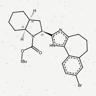 CC(C)(C)OC(=O)N1[C@H](c2nc3c([nH]2)-c2ccc(Br)cc2CCC3)C[C@@H]2CCCC[C@@H]21